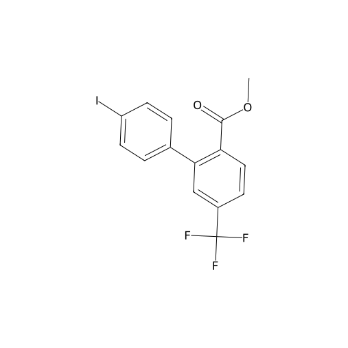 COC(=O)c1ccc(C(F)(F)F)cc1-c1ccc(I)cc1